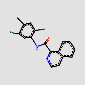 Cc1cc(F)c(NC(=O)c2nccc3ccccc23)cc1F